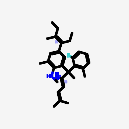 CC/C(C)=C(\CC)c1cc(C)c(NC)c(C(C)(/C(N)=C/C=C(C)C)c2c(C)cccc2F)c1